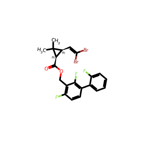 CC1(C)[C@H](C(=O)OCc2c(F)ccc(-c3ccccc3F)c2F)[C@@H]1C=C(Br)Br